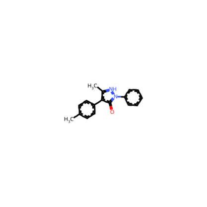 Cc1ccc(-c2c(C)[nH]n(-c3ccccc3)c2=O)cc1